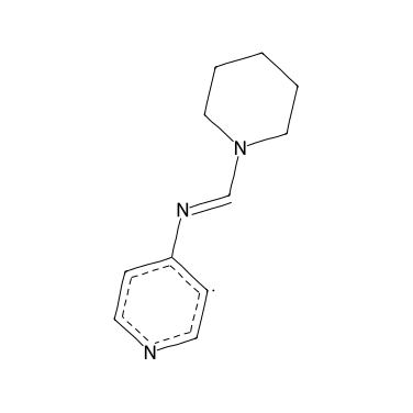 [c]1cnccc1N=CN1CCCCC1